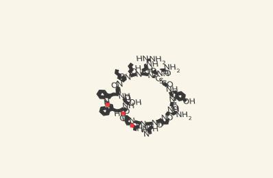 CCCC[C@H]1C(=O)N(C)[C@@H](CCCC)C(=O)N[C@@H](CCCNC(=N)N)C(=O)N[C@H](C(=O)NCC(N)=O)CSCC(=O)N[C@@H](Cc2ccc(O)cc2)C(=O)N(C)[C@@H](C)C(=O)N[C@@H](CC(N)=O)C(=O)N2CCC[C@H]2C(=O)N[C@@H](Cc2cnc[nH]2)C(=O)N[C@@H](CC(C)C)C(=O)N2CCC[C@H]2C(=O)N[C@H]2CC3=CS(#N)(c4ccccc43)n3cc(c4ccccc43)C[C@H](NC(=O)[C@H](CO)NC2=O)C(=O)N1C